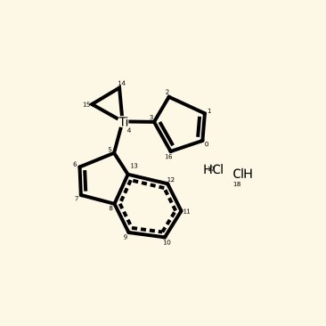 C1=CC[C]([Ti]2([CH]3C=Cc4ccccc43)[CH2][CH2]2)=C1.Cl.Cl